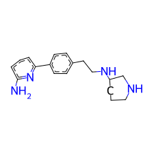 Nc1cccc(-c2ccc(CCNC3CCCNC3)cc2)n1